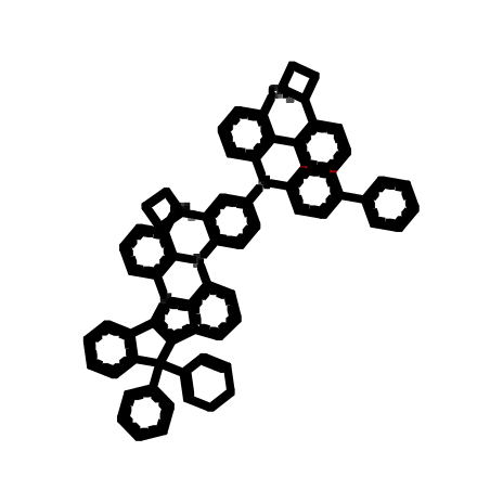 Cc1cccc2c1B(c1ccc(N(c3ccc(-c4ccccc4)cc3)c3cccc(C)c3-c3ccccc3C3CCC3)cc1C1CCC1)c1cccc3c4c(n-2c13)-c1ccccc1C4(C1=CCCC=C1)c1ccccc1